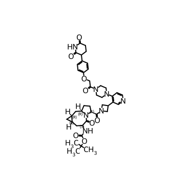 CC(C)(C)OC(=O)N[C@H]1C[C@@H]2C[C@@H]2C[C@H]2CC[C@@H](C(=O)N3CC(c4cnccc4N4CCN(C(=O)COc5ccc(C6CCC(=O)NC6=O)cc5)CC4)C3)N2C1=O